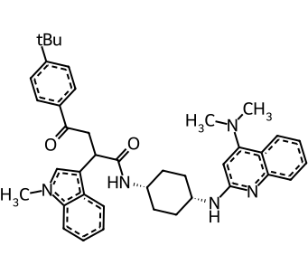 CN(C)c1cc(N[C@H]2CC[C@@H](NC(=O)C(CC(=O)c3ccc(C(C)(C)C)cc3)c3cn(C)c4ccccc34)CC2)nc2ccccc12